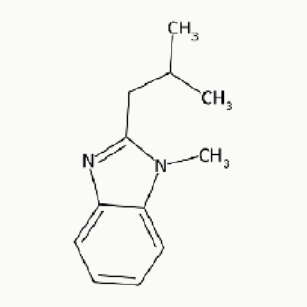 CC(C)Cc1nc2ccccc2n1C